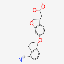 COC(=O)CC1COc2cc(O[C@@H]3CCc4c(C#N)cccc43)ccc21